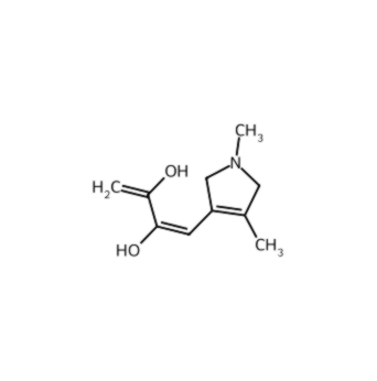 C=C(O)/C(O)=C\C1=C(C)CN(C)C1